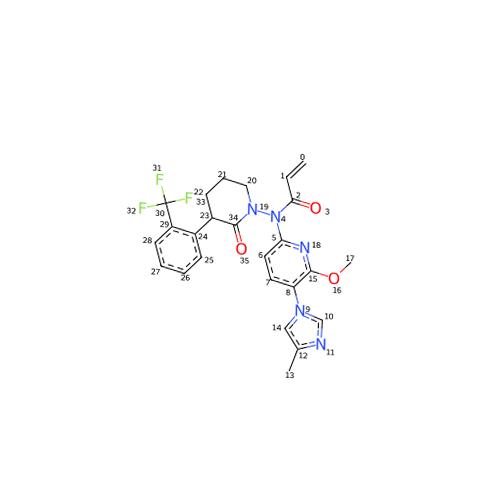 C=CC(=O)N(c1ccc(-n2cnc(C)c2)c(OC)n1)N1CCCC(c2ccccc2C(F)(F)F)C1=O